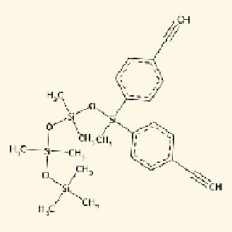 C#Cc1ccc([Si](C)(O[Si](C)(C)O[Si](C)(C)O[Si](C)(C)C)c2ccc(C#C)cc2)cc1